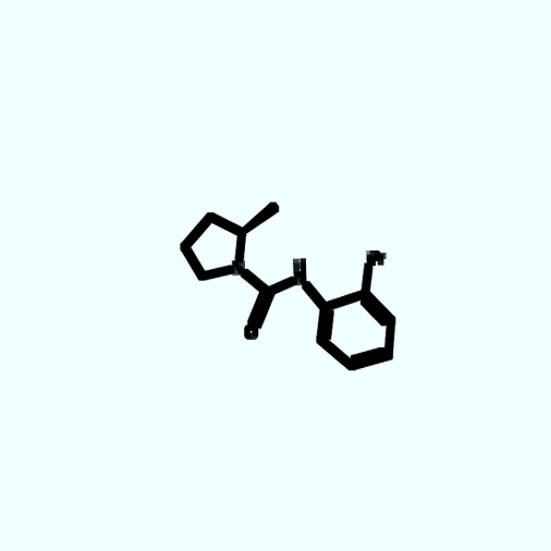 CC(C)c1ccccc1NC(=O)N1CCC[C@H]1C